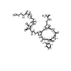 C=C(N)NCCC[C@@H]1NC(=O)[C@H](CCCCNc2c(NC(C)(C)CCOC(C)(C)C(=O)NCCO)c(=O)c2=O)NC(=O)[C@@H](Cc2ccccc2)NC(=O)[C@H](CC(=O)O)NC(=O)CNC1=O